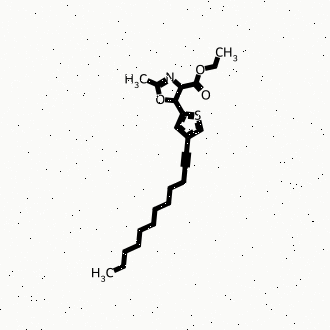 CCCCCCCCCCC#Cc1csc(C2OC(C)=NC2C(=O)OCC)c1